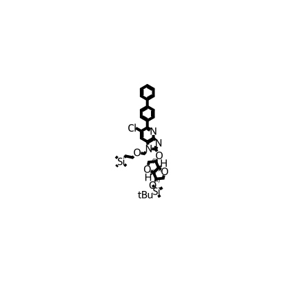 CC(C)(C)[Si](C)(C)O[C@@H]1CO[C@@H]2[C@@H]1OC[C@H]2Oc1nc2nc(-c3ccc(-c4ccccc4)cc3)c(Cl)cc2n1COCC[Si](C)(C)C